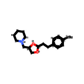 CC(C)(C)c1ccc(CCC2OCC(CN3CCCCC3)O2)cc1